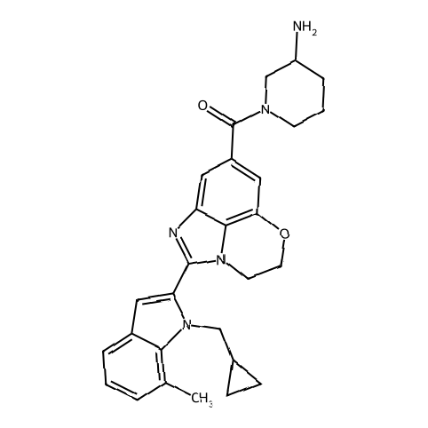 Cc1cccc2cc(-c3nc4cc(C(=O)N5CCCC(N)C5)cc5c4n3CCO5)n(CC3CC3)c12